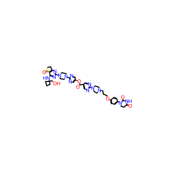 O=C1CCN(c2ccc(OCCCN3CCN(c4ncc(C(=O)Oc5cnc(N6CCN(c7nc8c(c(NC9(CO)CCC9)n7)[S@+]([O-])CC8)CC6)nc5)cn4)CC3)cc2)C(=O)N1